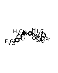 Cc1ccc(C(C)C)c(N2C(=O)CS/C2=N\C(=O)Nc2ccc(-n3cc(N4CCc5cc(OC(F)(F)F)ccc5C4=O)c(C)n3)cc2)c1